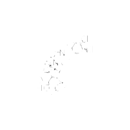 Cc1cccc(S(=O)(=O)N2[C@H](C)CN(Cc3ccc(Cl)c(Cl)c3)C[C@@H]2C)c1CC(C)C(=O)O